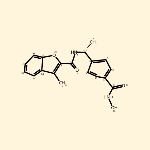 Cc1c(C(=O)N[C@H](C)c2ccc(C(=O)NO)cc2)oc2ccccc12